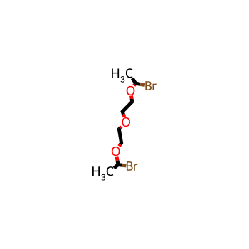 CC(Br)OCCOCCOC(C)Br